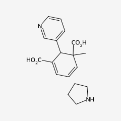 C1CCNC1.CC1(C(=O)O)C=CC=C(C(=O)O)C1c1cccnc1